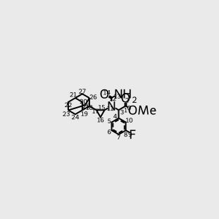 COC(=O)C(c1cccc(F)c1)N(C(N)=O)C1CC1C1C2CC3CC(C2)CC1C3